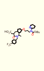 CC(C)COC(=O)N(CCCOc1ccc2c(c1)C(C)N(Cc1ccc(C(F)(F)F)cc1)C(=O)C(CC(=O)O)C2)c1ccccn1